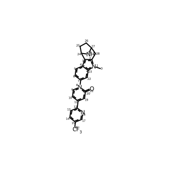 Cn1c2c(c3ccc(-n4ccc(-c5ccc(C(F)(F)F)cn5)cc4=O)cc31)C1CCC(C2)N1